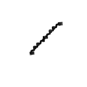 SCCOCOCCSSSCCOCOCCS